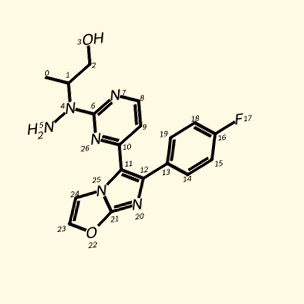 CC(CO)N(N)c1nccc(-c2c(-c3ccc(F)cc3)nc3occn23)n1